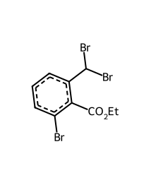 CCOC(=O)c1c(Br)cccc1C(Br)Br